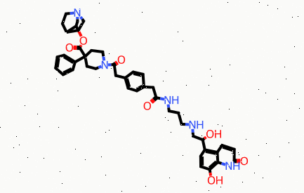 O=C(Cc1ccc(CC(=O)N2CCC(C(=O)OC3CN4CCC3CC4)(c3ccccc3)CC2)cc1)NCCCNCC(O)c1ccc(O)c2[nH]c(=O)ccc12